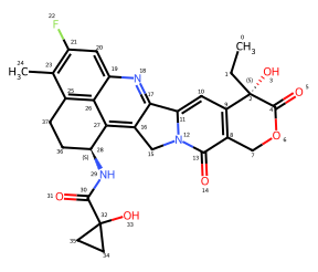 CC[C@@]1(O)C(=O)OCc2c1cc1n(c2=O)Cc2c-1nc1cc(F)c(C)c3c1c2[C@@H](NC(=O)C1(O)CC1)CC3